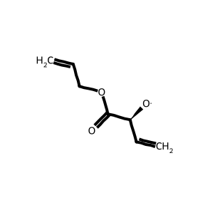 C=CCOC(=O)[C@@H]([O])C=C